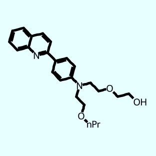 CCCOCCN(CCOCCO)c1ccc(-c2ccc3ccccc3n2)cc1